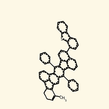 CC1=CCCc2c1c1cc3c(-c4ccccc4)c4c5cccc6c(-c7cccc8c7sc7ccccc78)ccc(c4c(-c4ccccc4)c3c3cccc2c13)c65